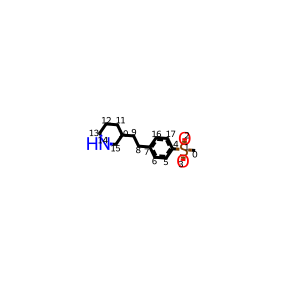 CS(=O)(=O)c1ccc(CCC2CCCNC2)cc1